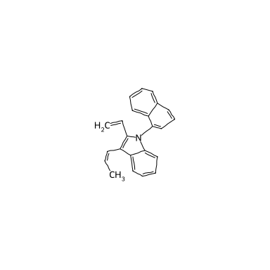 C=Cc1c(/C=C\C)c2ccccc2n1-c1cccc2ccccc12